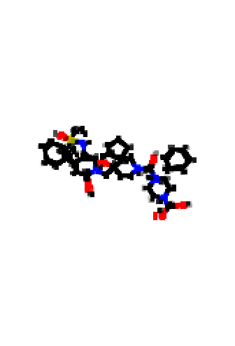 CS(C)(=O)=Nc1cn(CC2(O)CCN(C(=O)N3CCN(C(=O)O)C[C@H]3c3ccccc3)CC23CCCC3)c(=O)cc1-c1ccccc1